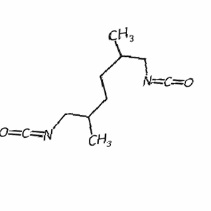 CC(CCC(C)CN=C=O)CN=C=O